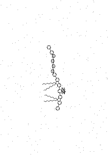 CCCCCCCCC1(CCCCCCCC)c2cc(-c3ccccc3)ccc2-c2ccc(-c3ccc(-c4ccc5c(c4)C(CCCCCCCC)(CCCCCCCC)c4cc(-c6ccc(OCCOCCOCCOc7ccc(-c8ccccc8)cc7)cc6)ccc4-5)c4nsnc34)cc21